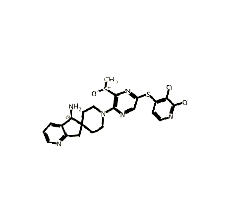 C[S+]([O-])c1nc(Sc2ccnc(Cl)c2Cl)cnc1N1CCC2(CC1)Cc1ncccc1[C@H]2N